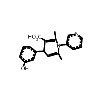 CC1=CC(c2cccc(O)c2)C(C(=O)O)=C(C)N1c1cccnc1